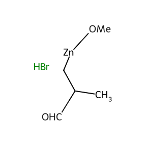 Br.C[O][Zn][CH2]C(C)C=O